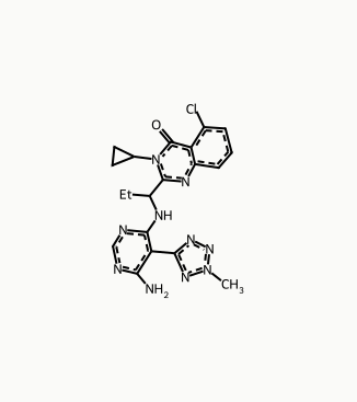 CCC(Nc1ncnc(N)c1-c1nnn(C)n1)c1nc2cccc(Cl)c2c(=O)n1C1CC1